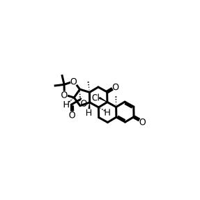 CC1(C)O[C@@H]2C[C@H]3[C@@H]4CCC5=CC(=O)C=C[C@]5(C)[C@@]4(Cl)C(=O)C[C@]3(C)[C@]2(C(=O)C=O)O1